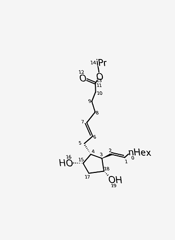 CCCCCCC=C[C@@H]1[C@@H](CC=CCCCC(=O)OC(C)C)[C@@H](O)C[C@H]1O